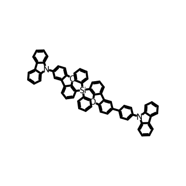 c1ccc([Si](c2ccccc2)(c2cccc3c2oc2ccc(-c4ccc(-n5c6ccccc6c6ccccc65)cc4)cc23)c2cccc3c2oc2ccc(-n4c5ccccc5c5ccccc54)cc23)cc1